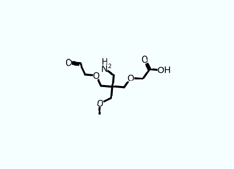 COCC(CN)(COCC=O)COCC(=O)O